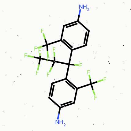 Nc1ccc(C(F)(c2ccc(N)cc2C(F)(F)F)C(F)(F)C(F)(F)F)c(C(F)(F)F)c1